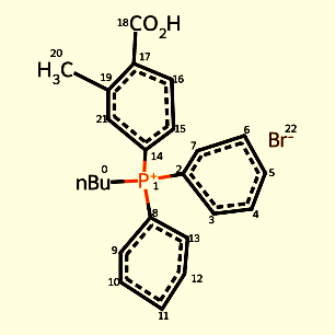 CCCC[P+](c1ccccc1)(c1ccccc1)c1ccc(C(=O)O)c(C)c1.[Br-]